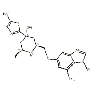 CC(C)n1cnc2cc(OC[C@@H]3C[C@](O)(c4nnc(C(F)(F)F)s4)C[C@H](C)N3)cc(C(F)(F)F)c21